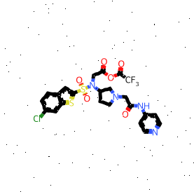 O=C(CN1CCC(N(CC(=O)OC(=O)C(F)(F)F)S(=O)(=O)c2cc3ccc(Cl)cc3s2)C1)Nc1ccncc1